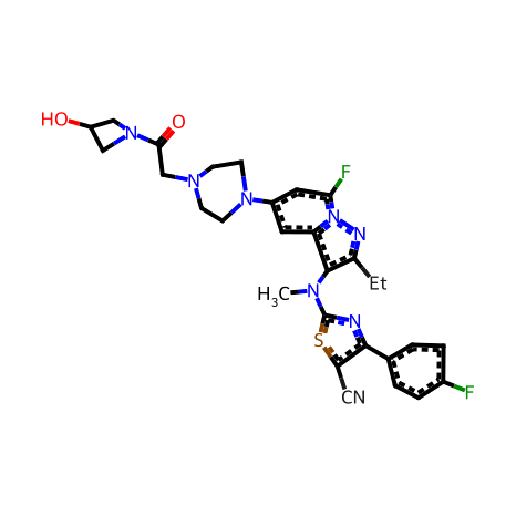 CCc1nn2c(F)cc(N3CCN(CC(=O)N4CC(O)C4)CC3)cc2c1N(C)c1nc(-c2ccc(F)cc2)c(C#N)s1